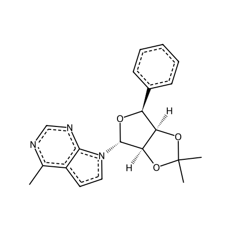 Cc1ncnc2c1ccn2[C@@H]1O[C@@H](c2ccccc2)[C@H]2OC(C)(C)O[C@H]21